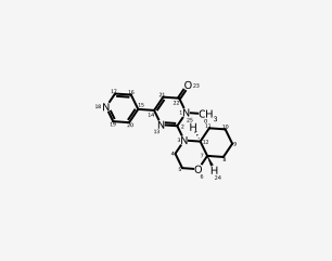 Cn1c(N2CCO[C@H]3CCCC[C@@H]32)nc(-c2ccncc2)cc1=O